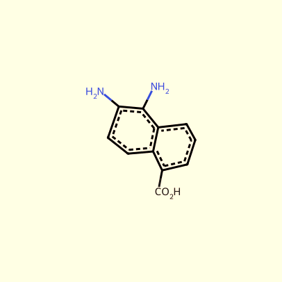 Nc1ccc2c(C(=O)O)cccc2c1N